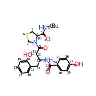 CC(C)(C)NC(=O)[C@@H]1CSCN1C(=O)[C@@H](O)[C@H](Cc1ccccc1)NC(=O)c1ccc(O)cc1